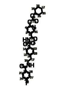 O=C(Oc1ccc(C(=O)NS(=O)(=O)c2ccc(CCNC(=O)c3ccc(F)cc3)cc2)cn1)OC1CCCCC1